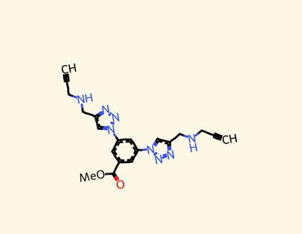 C#CCNCc1cn(-c2cc(C(=O)OC)cc(-n3cc(CNCC#C)nn3)c2)nn1